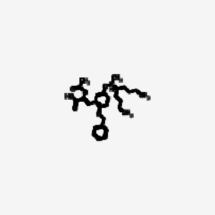 CCCCC(CCCC)[SiH](C)Oc1ccc(OCc2ccccc2)c(C=C(OC(C)=O)C(=O)O)c1